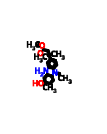 CCN(c1ccc(C(C)(C)CC(=O)OC)cc1N)C1CCC(C)(O)CC1